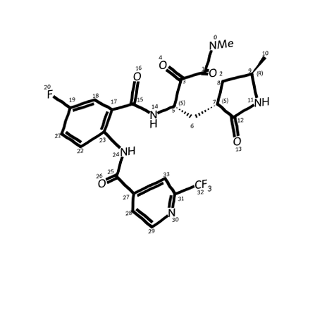 CNC(=O)C(=O)[C@H](C[C@@H]1C[C@@H](C)NC1=O)NC(=O)c1cc(F)ccc1NC(=O)c1ccnc(C(F)(F)F)c1